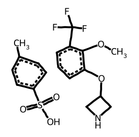 COc1c(OC2CNC2)cccc1C(F)(F)F.Cc1ccc(S(=O)(=O)O)cc1